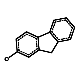 [O]c1ccc2c(c1)Cc1ccccc1-2